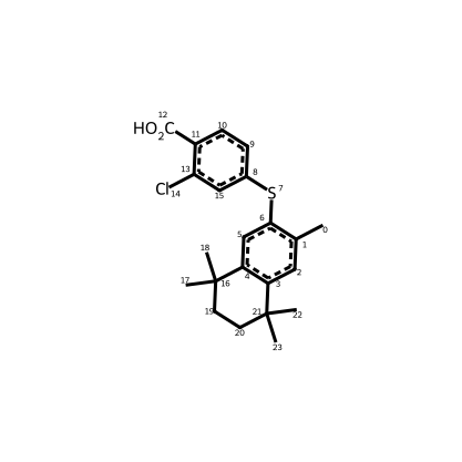 Cc1cc2c(cc1Sc1ccc(C(=O)O)c(Cl)c1)C(C)(C)CCC2(C)C